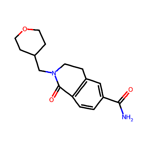 NC(=O)c1ccc2c(c1)CCN(CC1CCOCC1)C2=O